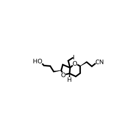 N#CCC[C@H]1CC[C@@H]2O[C@@H](CCCO)CC2(CI)O1